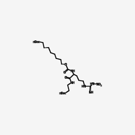 CCCCCCCCCCCCCCCCCCOC(=O)NC(CCCNC(=N)N[N+](=O)[O-])C(=O)NCCCCCCCCCCCC